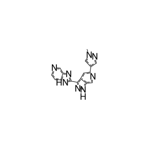 Cn1cc(-c2cc3c(-c4nc5cnccc5[nH]4)n[nH]c3cn2)cn1